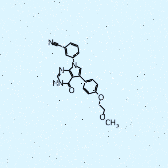 COCCOc1ccc(-c2cn(-c3cccc(C#N)c3)c3nc[nH]c(=O)c23)cc1